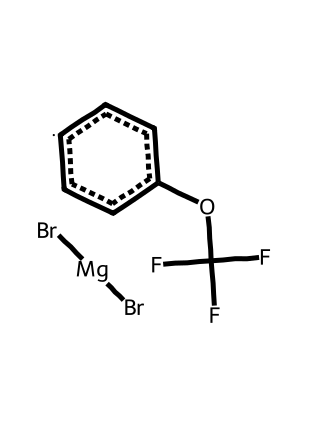 FC(F)(F)Oc1cc[c]cc1.[Br][Mg][Br]